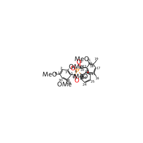 COc1cc(OC)c(C(=O)P(=O)(C(=O)c2c(OC)c(C)cc(C)c2OC)c2ccccc2)c(OC)c1